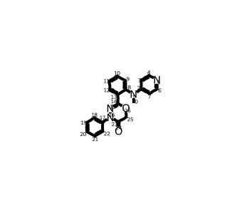 CN(c1ccncc1)c1ccccc1C1=NN(c2ccccc2)C(=O)CO1